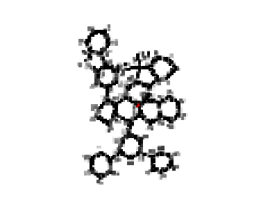 CC1(C)c2ccccc2-c2ccc(-c3c(-c4ccc5c(c4)sc4ccccc45)cccc3N(c3cc(-c4ccccc4)cc(-c4ccccc4)c3)c3ccc4ccccc4c3)cc21